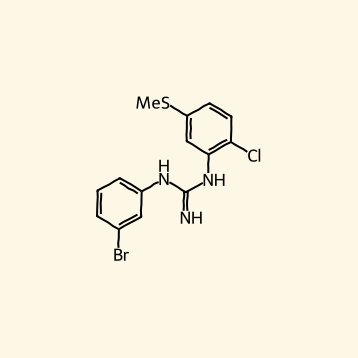 CSc1ccc(Cl)c(NC(=N)Nc2cccc(Br)c2)c1